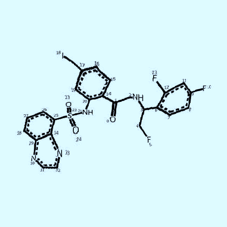 O=C(NC(CF)c1ccc(F)cc1F)c1ccc(I)cc1NS(=O)(=O)c1cccc2nccnc12